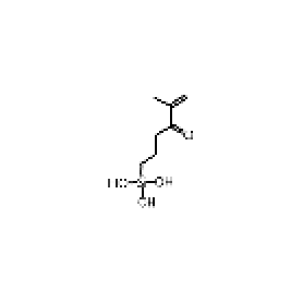 C=C(C)C(=O)CCC[Si](O)(O)O